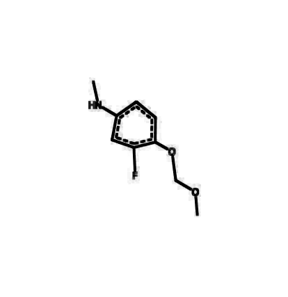 CNc1ccc(OCOC)c(F)c1